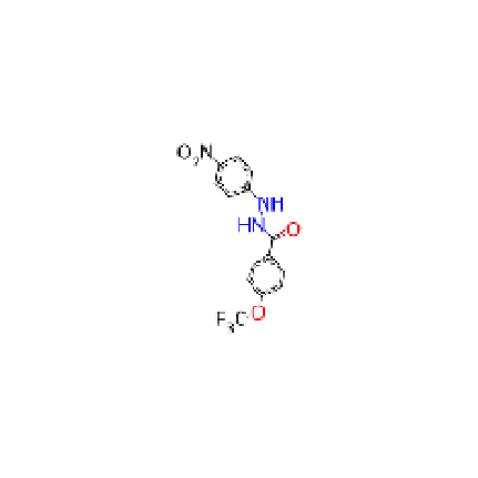 O=C(NNc1ccc([N+](=O)[O-])cc1)c1ccc(OC(F)(F)F)cc1